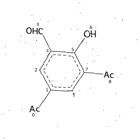 CC(=O)c1cc(C=O)c(O)c(C(C)=O)c1